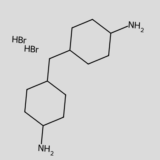 Br.Br.NC1CCC(CC2CCC(N)CC2)CC1